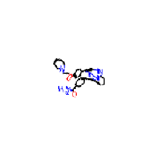 NC(=O)C1CC=C(c2cccc3ncc(-c4ccc(OCCN5CCCCC5)cc4)n23)CC1